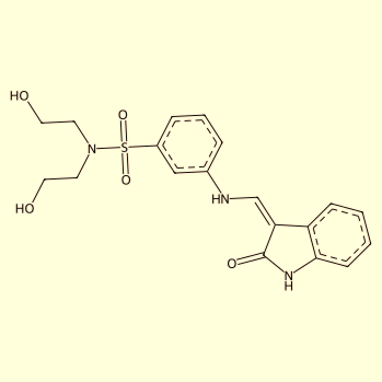 O=C1Nc2ccccc2C1=CNc1cccc(S(=O)(=O)N(CCO)CCO)c1